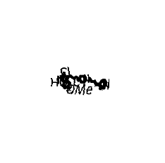 COc1ccc2ncc(Cl)c(CCCC3(C(=O)O)CCN(CCCCc4ccncc4)CC3)c2c1